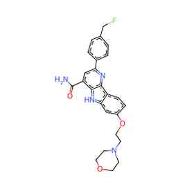 NC(=O)c1cc(-c2ccc(CF)cc2)nc2c1[nH]c1cc(OCCN3CCOCC3)ccc12